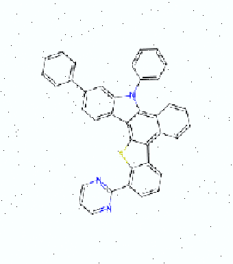 c1ccc(-c2ccc3c4c5sc6c(-c7ncccn7)cccc6c5c5ccccc5c4n(-c4ccccc4)c3c2)cc1